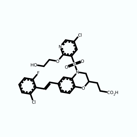 O=C(O)CCC1CN(S(=O)(=O)c2cc(Cl)cnc2OCCO)c2cc(C=Cc3c(F)cccc3Cl)ccc2O1